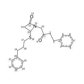 O=C(CCc1ccccc1)CN1C(=O)CC1SCCCc1ccccc1